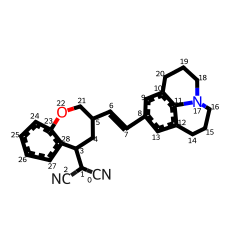 N#CC(C#N)C1CC(/C=C/c2cc3c4c(c2)CCCN4CCC3)COc2ccccc21